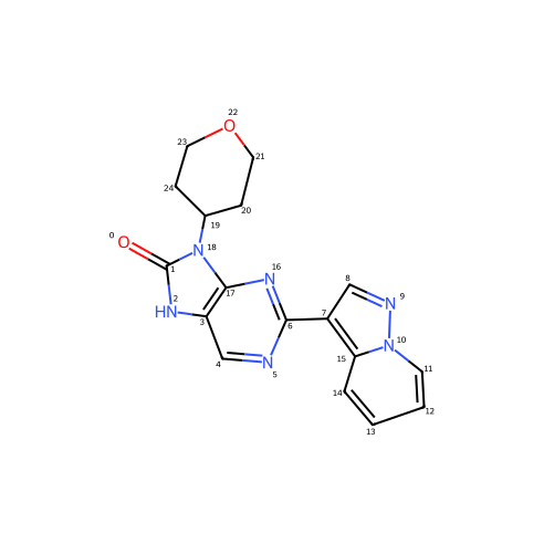 O=c1[nH]c2cnc(-c3cnn4ccccc34)nc2n1C1CCOCC1